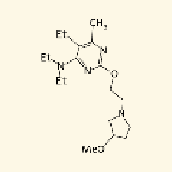 CCc1c(C)nc(OCCN2CCC(OC)C2)nc1N(CC)CC